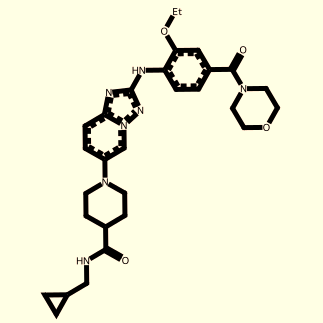 CCOc1cc(C(=O)N2CCOCC2)ccc1Nc1nc2ccc(N3CCC(C(=O)NCC4CC4)CC3)cn2n1